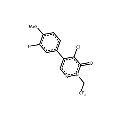 CSc1ccc(-c2cnn(CC(F)(F)F)c(=O)c2Cl)cc1F